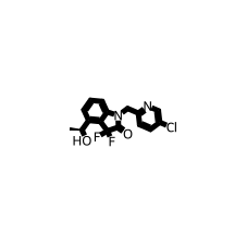 C[C@H](O)c1cccc2c1C(F)(F)C(=O)N2Cc1ccc(Cl)cn1